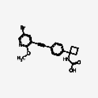 COc1ncc(Br)cc1C#Cc1ccc(C2(NC(=O)O)CCC2)cc1